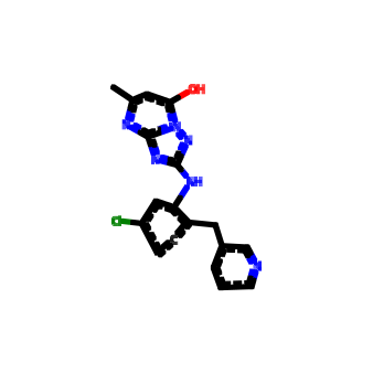 Cc1cc(O)n2nc(Nc3cc(Cl)ccc3Cc3cccnc3)nc2n1